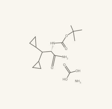 CC(C)(C)OC(=O)N[C@H](C(N)=O)C(C1CC1)C1CC1.N.O=C(O)O